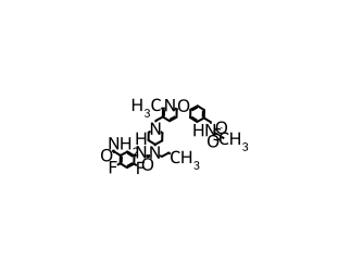 CCCN(C(=O)Nc1cc(C(N)=O)c(F)cc1F)C1CCN(Cc2ccc(Oc3ccc(CNS(C)(=O)=O)cc3)nc2C)CC1